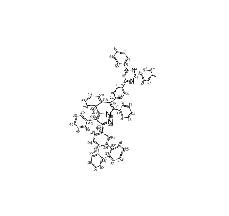 c1ccc(-c2cc(-c3ccc(-c4c(-c5ccccc5)n5nc(-c6ccc7c8ccccc8c8ccccc8c7c6)c(-c6ccccc6)c5c5ccccc45)cc3)nc(-c3ccccc3)n2)cc1